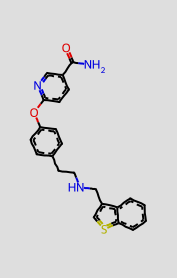 NC(=O)c1ccc(Oc2ccc(CCNCc3csc4ccccc34)cc2)nc1